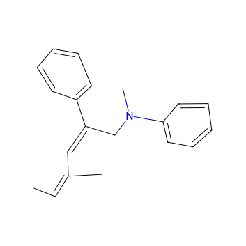 C/C=C(C)\C=C(/CN(C)c1ccccc1)c1ccccc1